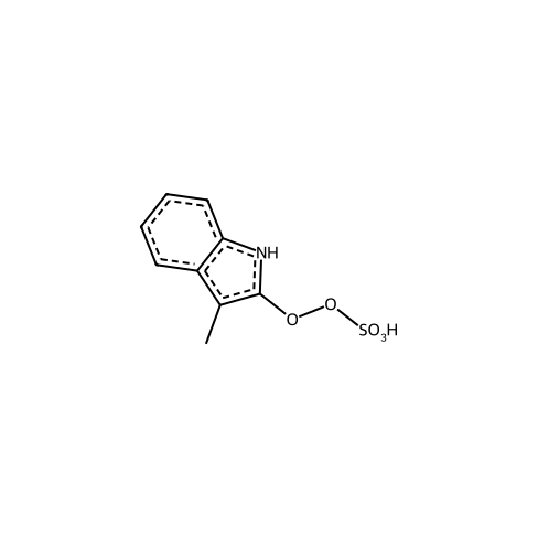 Cc1c(OOS(=O)(=O)O)[nH]c2ccccc12